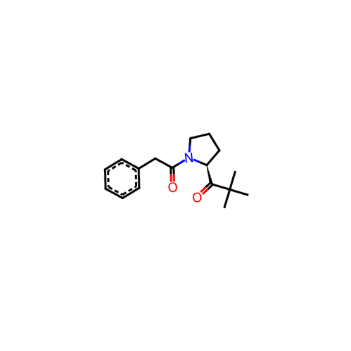 CC(C)(C)C(=O)[C@@H]1CCCN1C(=O)Cc1ccccc1